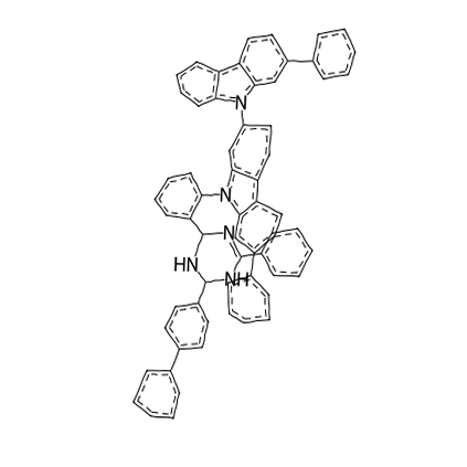 c1ccc(C2=NC(c3ccccc3-n3c4cc(-c5ccccc5)ccc4c4ccc(-n5c6ccccc6c6ccc(-c7ccccc7)cc65)cc43)NC(c3ccc(-c4ccccc4)cc3)N2)cc1